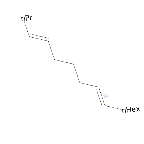 CCCC=CCCC/[C]=C/CCCCCC